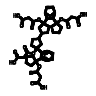 O=C(O)CC(=O)OC1(c2c(C3(OC(=O)CC(=O)O)CCC(C4CCC(OC(=O)CC(=O)O)(C5C6C=CC(S6)C5C5(OC(=O)CC(=O)O)CCCC5)C4)C3)c3ccc2o3)CCCC1